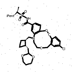 CCC[C@H](C)[C@@H](C)S(=O)(=O)NC(=O)c1ccc2c(c1)N(C[C@@H]1CC[C@H]1CC1OCCCO1)CCCCc1cc(Cl)ccc1CO2